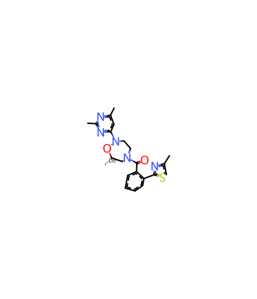 Cc1cc(N2CCN(C(=O)c3ccccc3-c3nc(C)cs3)C[C@H](C)O2)nc(C)n1